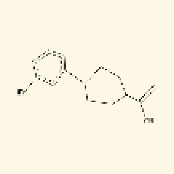 C=C(C#N)C1CCC(c2cccc(C(C)C)c2)CC1